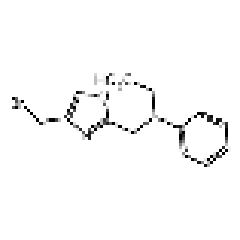 O=C(O)CC(Cc1nc(CBr)co1)c1ccccc1